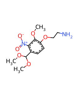 COc1c(OCCN)ccc(C(OC)OC)c1[N+](=O)[O-]